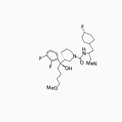 CNCC(CC1CCC(F)CC1)NC(=O)N1CCC[C@@H]([C@](O)(CCCCOC)c2cccc(F)c2F)C1